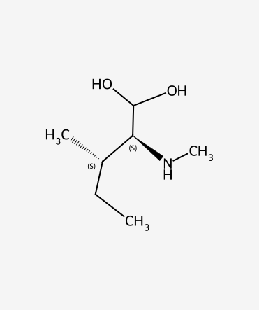 CC[C@H](C)[C@H](NC)C(O)O